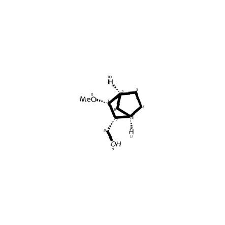 CO[C@@H]1[C@H]2CC[C@H](C2)[C@@H]1CO